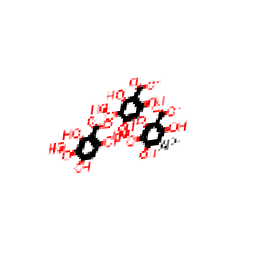 O=C([O-])c1c(O)cc(O)c(OO)c1O.O=C([O-])c1c(O)cc(O)c(OO)c1O.O=C([O-])c1c(O)cc(O)c(OO)c1O.[Al+3]